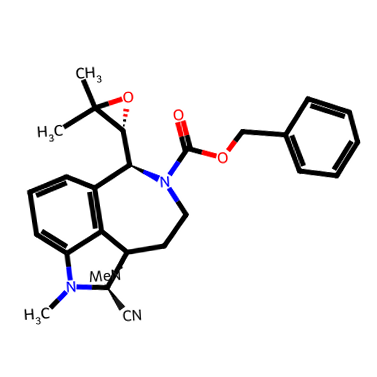 CN[C@@]12CCN(C(=O)OCc3ccccc3)[C@H]([C@H]3OC3(C)C)c3cccc(c31)N(C)[C@@H]2C#N